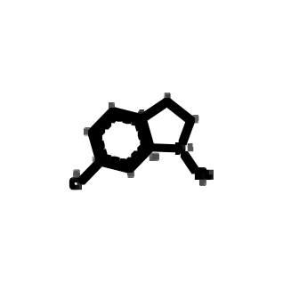 CCC(C)N1CCc2ccc(Cl)cc21